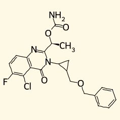 C[C@H](OC(N)=O)c1nc2ccc(F)c(Cl)c2c(=O)n1C1CC1COCc1ccccc1